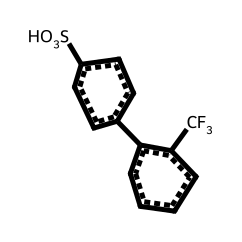 O=S(=O)(O)c1ccc(-c2ccccc2C(F)(F)F)cc1